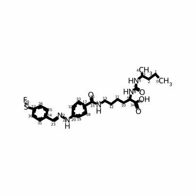 CCCC(C)NC(=O)NC(CCCCNC(=O)c1ccc(N/N=C/c2ccc(SF)cc2)cc1)C(=O)O